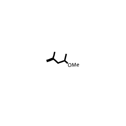 C=C(C)CC(C)OC